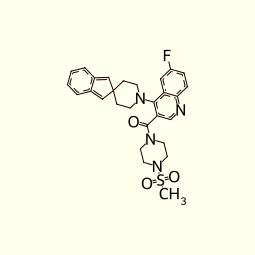 CS(=O)(=O)N1CCN(C(=O)c2cnc3ccc(F)cc3c2N2CCC3(C=c4ccccc4=C3)CC2)CC1